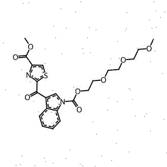 COCCOCCOCCOC(=O)n1cc(C(=O)c2nc(C(=O)OC)cs2)c2ccccc21